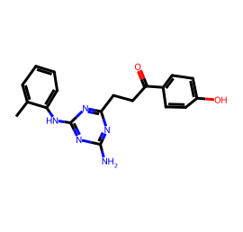 Cc1ccccc1Nc1nc(N)nc(CCC(=O)c2ccc(O)cc2)n1